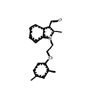 Cc1ccc(OCCn2c(C)c(C=O)c3ccccc32)c(C)c1